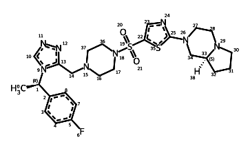 C[C@H](c1ccc(F)cc1)n1cnnc1CN1CCN(S(=O)(=O)c2cnc(N3CCN4CCC[C@H]4C3)s2)CC1